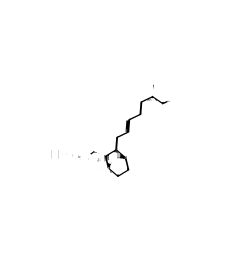 CCCCCCOC[C@H]1C(CC=CCC[C@@H](C)CO)[C@H]2CC[C@@H]1O2